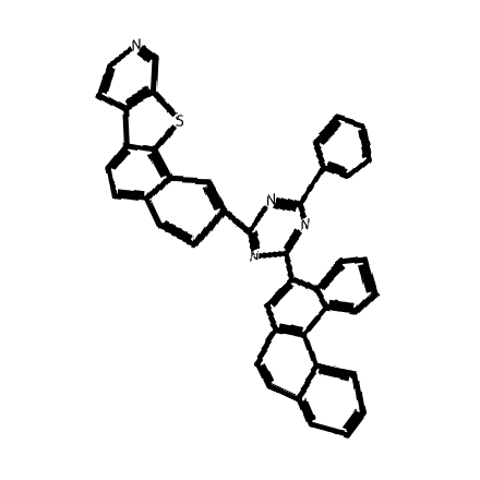 c1ccc(-c2nc(-c3ccc4ccc5c6ccncc6sc5c4c3)nc(-c3cc4ccc5ccccc5c4c4ccccc34)n2)cc1